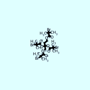 CC(C)(Br)C(=O)OCCC(COC(=O)C(C)(C)Br)(OC(=O)C(C)(C)Br)OC(=O)C(C)(C)Br